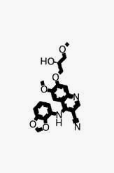 COC[C@@H](O)COc1cc2ncc(C#N)c(Nc3cccc4c3OCO4)c2cc1OC